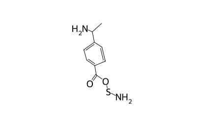 CC(N)c1ccc(C(=O)OSN)cc1